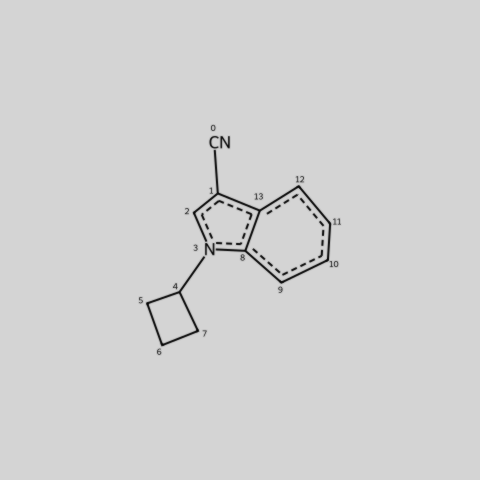 N#Cc1cn(C2CCC2)c2ccccc12